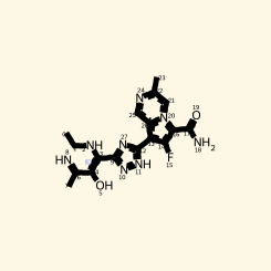 CCN/C(=C(/O)C(C)=N)c1n[nH]c(-c2c(F)c(C(N)=O)n3cc(C)ncc23)n1